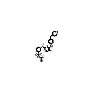 CCC(=O)NS(=O)(=O)c1cccc(Nc2ncc(F)c(Nc3ccc(Cc4ccncc4)cc3)n2)c1